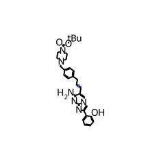 CC(C)(C)OC(=O)N1CCN(Cc2ccc(C/C=C/c3cn4cc(-c5ccccc5O)nc4nc3N)cc2)CC1